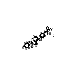 COC(=O)C(N)Cc1ccc(Oc2ccnc3c2ccn3S(=O)(=O)c2ccc(C)cc2)cc1